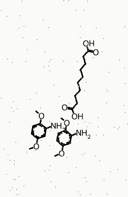 COc1ccc(OC)c(N)c1.COc1ccc(OC)c(N)c1.O=C(O)CCCCCCCCC(=O)O